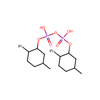 CC1CCC(C(C)C)C(OP(=O)(O)OP(=O)(O)OC2CC(C)CCC2C(C)C)C1